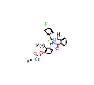 CCCNC(=O)COc1cccc(C2SC(c3ccc(F)cc3)=NN2C(=O)c2ccccc2C)c1OC